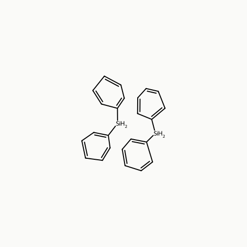 c1ccc([SiH2]c2ccccc2)cc1.c1ccc([SiH2]c2ccccc2)cc1